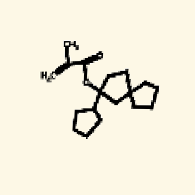 C=C(C)C(=O)OC1(C2CCCC2)CCC2(CCCC2)C1